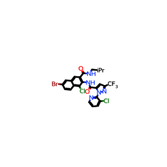 CC(C)CNC(=O)c1cc2cc(Br)ccc2c(Cl)c1NC(=O)c1cc(C(F)(F)F)nn1-c1ncccc1Cl